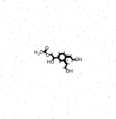 CC(=O)OCC(O)c1ccc(=CCO)c(=CCO)c1